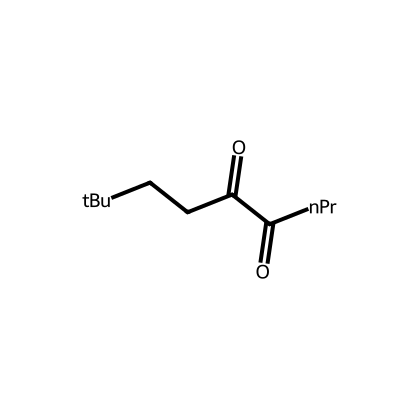 CCCC(=O)C(=O)CCC(C)(C)C